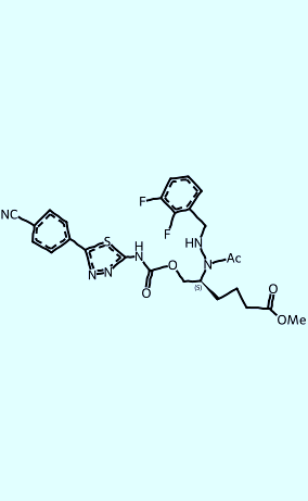 COC(=O)CCC[C@@H](COC(=O)Nc1nnc(-c2ccc(C#N)cc2)s1)N(NCc1cccc(F)c1F)C(C)=O